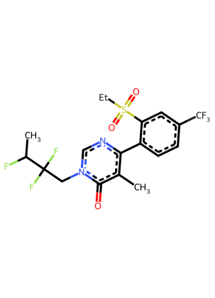 CCS(=O)(=O)c1cc(C(F)(F)F)ccc1-c1ncn(CC(F)(F)C(C)F)c(=O)c1C